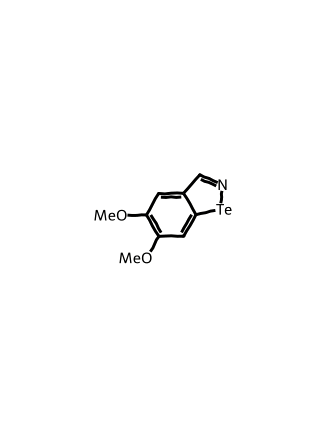 COc1cc2cn[te]c2cc1OC